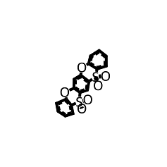 O=S1(=O)c2ccccc2Oc2cc3c(cc21)S(=O)(=O)c1ccccc1O3